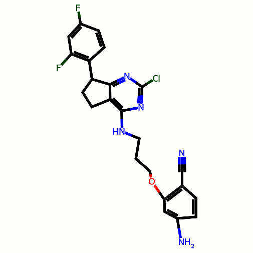 N#Cc1ccc(N)cc1OCCCNc1nc(Cl)nc2c1CCC2c1ccc(F)cc1F